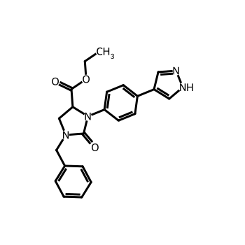 CCOC(=O)C1CN(Cc2ccccc2)C(=O)N1c1ccc(-c2cn[nH]c2)cc1